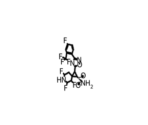 NS(=O)(=O)C1C(c2nc(-c3ccc(F)cc3C(F)(F)F)no2)C12CC(F)NC(F)C2F